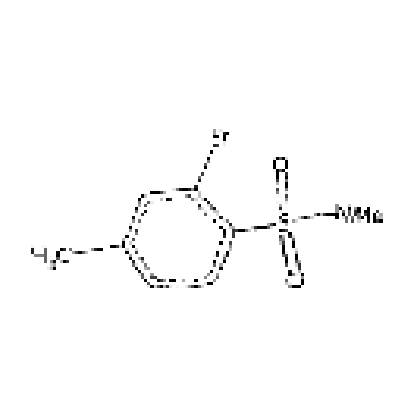 CNS(=O)(=O)c1ccc(C)cc1Br